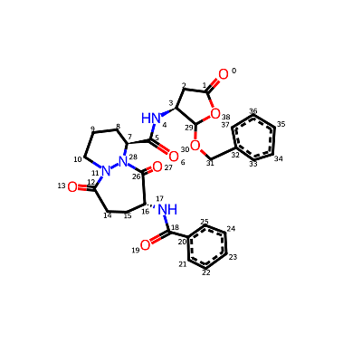 O=C1C[C@H](NC(=O)[C@@H]2CCCN3C(=O)CC[C@@H](NC(=O)c4ccccc4)C(=O)N23)C(OCc2ccccc2)O1